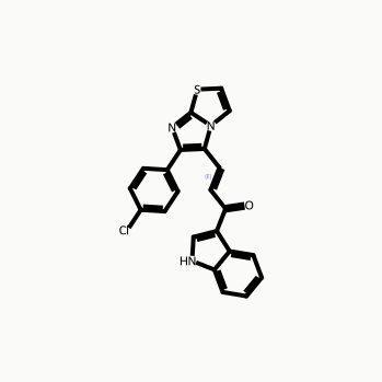 O=C(/C=C/c1c(-c2ccc(Cl)cc2)nc2sccn12)c1c[nH]c2ccccc12